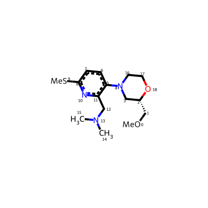 COC[C@@H]1CN(c2ccc(SC)nc2CN(C)C)CCO1